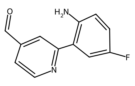 Nc1ccc(F)cc1-c1cc(C=O)ccn1